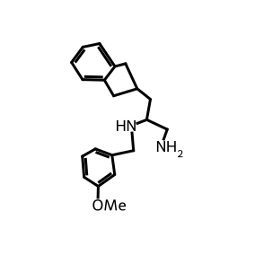 COc1cccc(CNC(CN)CC2Cc3ccccc3C2)c1